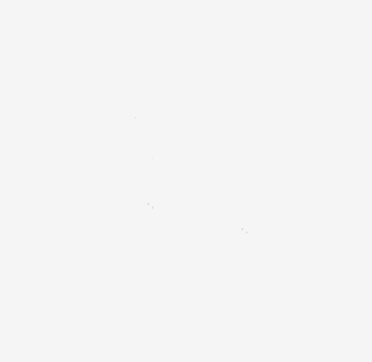 CCC(N=C=O)OC(=O)C(CCCN=C=O)N=C=O